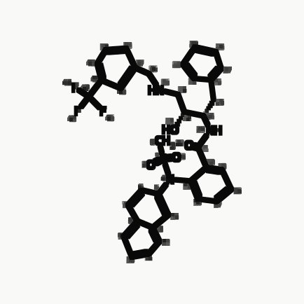 CS(=O)(=O)N(c1ccc2ccccc2c1)c1ccccc1C(=O)N[C@@H](Cc1ccccc1)[C@H](O)CNCc1cccc(C(F)(F)F)c1